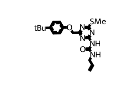 C=CCNC(=O)Nc1nc(COc2ccc(C(C)(C)C)cc2)nc(SC)n1